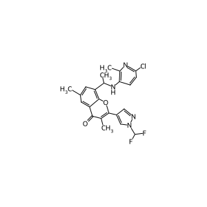 Cc1cc(C(C)Nc2ccc(Cl)nc2C)c2oc(-c3cnn(C(F)F)c3)c(C)c(=O)c2c1